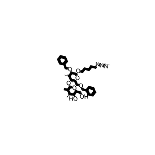 CC1[C@H](O[C@@H]2C(COCc3ccccc3)O[C@@H](OCCCCCN=[N+]=[N-])C(OCc3ccccc3)[C@H]2C)OC(CO)[C@H](O)[C@@H]1C